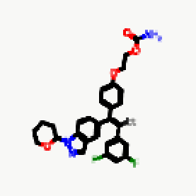 CCC(=C(c1ccc(OCCOC(N)=O)cc1)c1ccc2c(cnn2C2CCCCO2)c1)c1cc(F)cc(F)c1